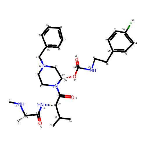 CN[C@@H](C)C(=O)N[C@H](C(=O)N1CCN(Cc2ccccc2)C[C@@H]1OC(=O)NCCc1ccc(F)cc1)C(C)C